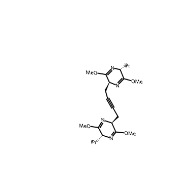 COC1=N[C@H](C(C)C)C(OC)=N[C@H]1CC#CC[C@@H]1N=C(OC)[C@@H](C(C)C)N=C1OC